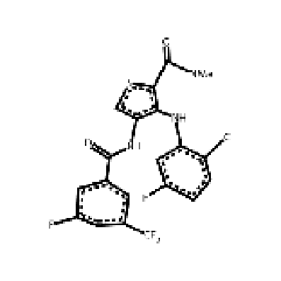 CNC(=O)c1scc(NC(=O)c2cc(F)cc(C(F)(F)F)c2)c1Nc1cc(F)ccc1Cl